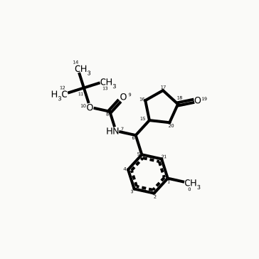 Cc1cccc(C(NC(=O)OC(C)(C)C)C2CCC(=O)C2)c1